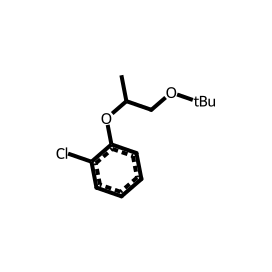 CC(COC(C)(C)C)Oc1ccccc1Cl